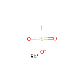 CS(=O)(=O)[O-].[Rb+]